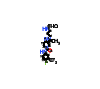 Cc1c2c(nn1CCCNC=O)CCN(C(=O)Nc1ccc(F)c(C(F)(F)F)c1)C2